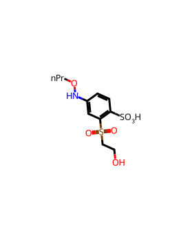 CCCONc1ccc(S(=O)(=O)O)c(S(=O)(=O)CCO)c1